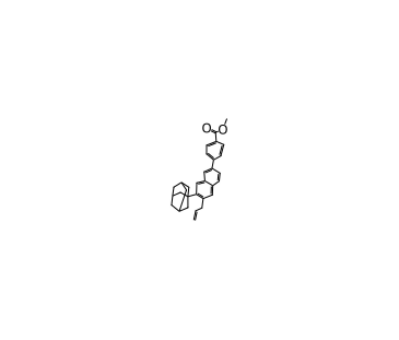 C=CCc1cc2ccc(-c3ccc(C(=O)OC)cc3)cc2cc1C12CC3CC(CC(C3)C1)C2